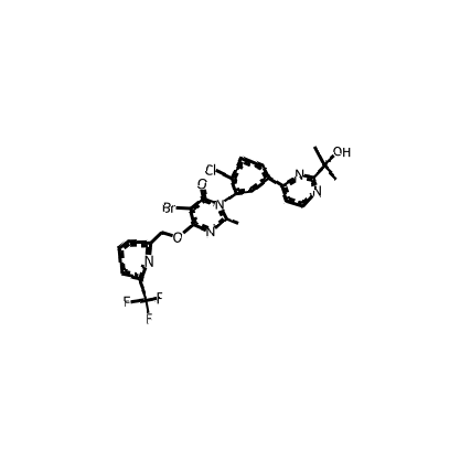 Cc1nc(OCc2cccc(C(F)(F)F)n2)c(Br)c(=O)n1-c1cc(-c2ccnc(C(C)(C)O)n2)ccc1Cl